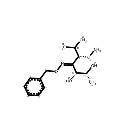 CO[C@H](/C(=N/OCc1ccccc1)[C@@H](O)[C@@H](C)O)C(C)C